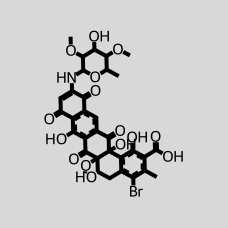 COC1C(C)OC(NC2=CC(=O)c3c(cc4c(c3O)C(=O)C3(OC)C(O)Cc5c(Br)c(C)c(C(=O)O)c(O)c5C3(O)C4=O)C2=O)C(OC)C1O